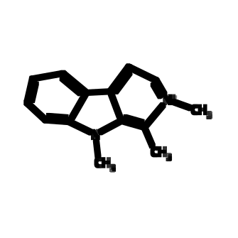 Cc1c2c(cc[n+]1C)c1ccccc1n2C